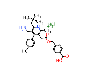 Cc1ccc(-c2c(CC(=O)OCc3ccc(C(=O)O)cc3)c(C)nc(CC(C)(C)C)c2CN)cc1.Cl.Cl